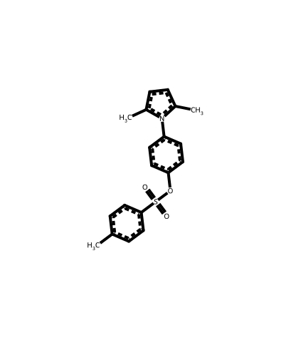 Cc1ccc(S(=O)(=O)Oc2ccc(-n3c(C)ccc3C)cc2)cc1